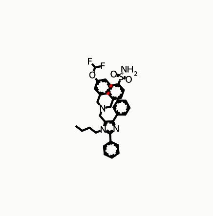 CCCCn1c(-c2ccccc2)nc(-c2ccccc2)c1CN(Cc1ccc(S(N)(=O)=O)cc1)Cc1cccc(OC(F)F)c1